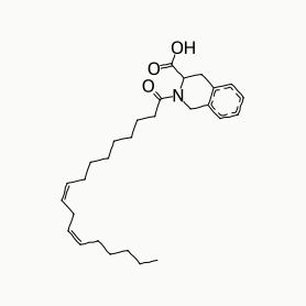 CCCCC/C=C\C/C=C\CCCCCCCC(=O)N1Cc2ccccc2CC1C(=O)O